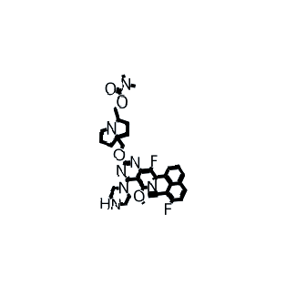 C#Cc1c(F)ccc2cccc(-c3nc(OC)c4c(N5CCNCC5)nc(OCC56CCCN5C(COC(=O)N(C)C)CC6)nc4c3F)c12